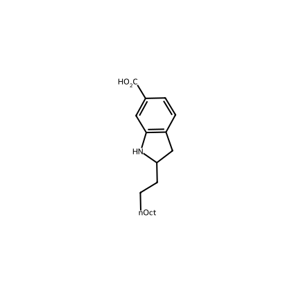 CCCCCCCCCCC1Cc2ccc(C(=O)O)cc2N1